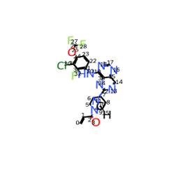 C=CC(=O)N1CC2CC[C@@H]1CN2c1ncc2ncnc(Nc3ccc(OC(F)F)c(Cl)c3F)c2n1